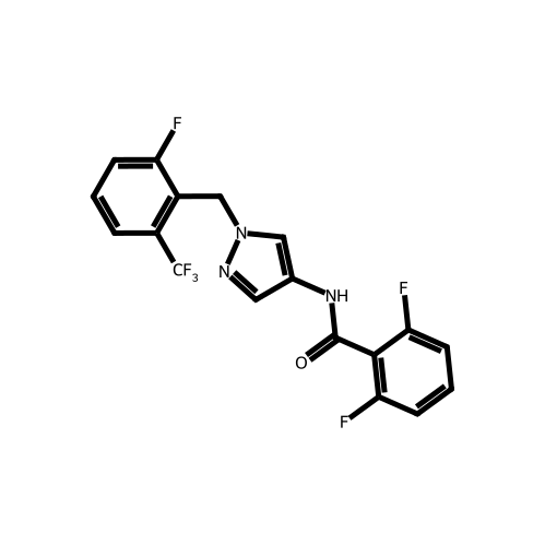 O=C(Nc1cnn(Cc2c(F)cccc2C(F)(F)F)c1)c1c(F)cccc1F